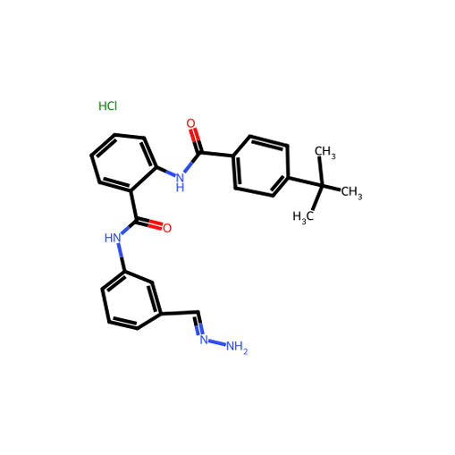 CC(C)(C)c1ccc(C(=O)Nc2ccccc2C(=O)Nc2cccc(C=NN)c2)cc1.Cl